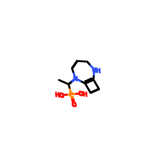 CC(N1CCCNC2=C1CC2)P(=O)(O)O